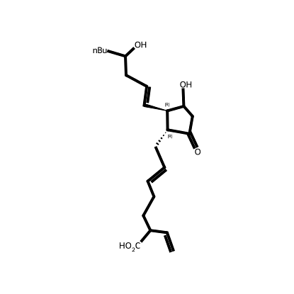 C=CC(CCC=CC[C@H]1C(=O)CC(O)[C@@H]1C=CCC(O)CCCC)C(=O)O